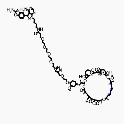 CO[C@H]1C[C@]2(O)CC[C@@H](C)[C@@](O)(O2)C(=O)C(=O)N2CCCC[C@H]2C(O)O[C@H]([C@H](C)C[C@@H]2CC[C@@H](OCCOCc3cn(CCOCCOCCOCCOCCC(=O)NCCCCn4nc(-c5ccc6oc(N)nc6c5)c5c(N)ncnc54)nn3)[C@H](OC)C2)CC(=O)[C@H](C)/C=C(\C)[C@@H](O)[C@@H](OC)C(=O)[C@H](C)C[C@H](C)/C=C/C=C/C=C/1C